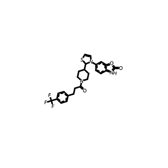 O=C(CCc1ccc(C(F)(F)F)cc1)N1CCC(C2SC=CN2c2ccc3[nH]c(=O)oc3c2)CC1